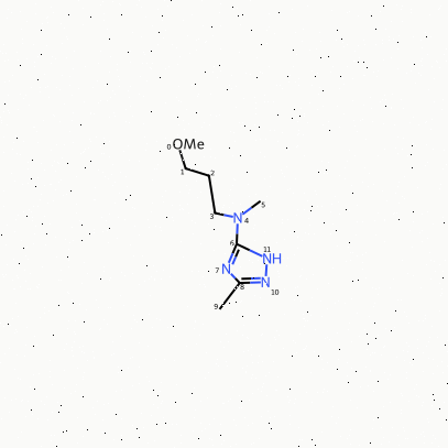 COCCCN(C)c1nc(C)n[nH]1